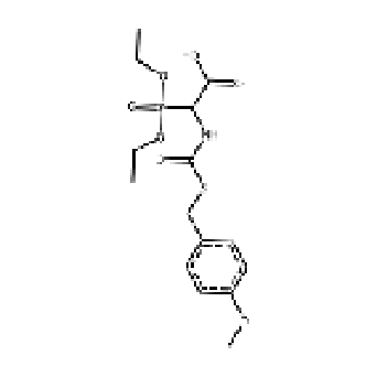 CCOP(=O)(OCC)C(NC(=O)SCc1ccc(OC)cc1)C(=O)O